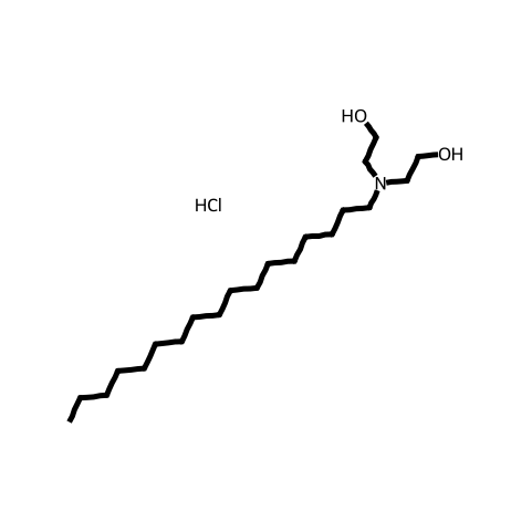 CCCCCCCCCCCCCCCCCN(CCO)CCO.Cl